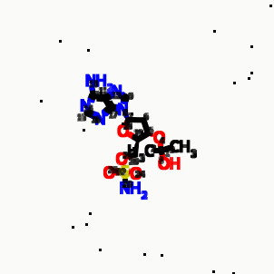 CC(C)(O)O[C@H]1C[C@H](n2cnc3c(N)ncnc32)O[C@@H]1COS(N)(=O)=O